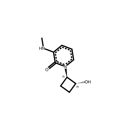 CNc1cccn([C@@H]2CC[C@H]2O)c1=O